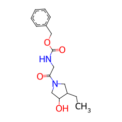 CCC1CN(C(=O)CNC(=O)OCc2ccccc2)CC1O